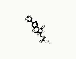 CC(=O)NC[C@@H]1OC(=O)N2c3ccc(-c4cncnc4)cc3OC[C@@H]12